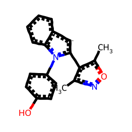 Cc1noc(C)c1-c1[c]c2ccccc2n1-c1ccc(O)cc1